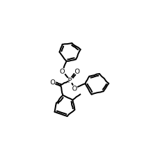 Cc1ccccc1C(=O)P(=O)(Oc1ccccc1)Oc1ccccc1